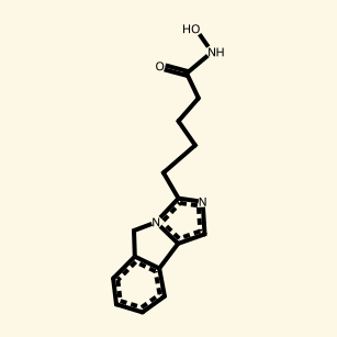 O=C(CCCCc1ncc2n1Cc1ccccc1-2)NO